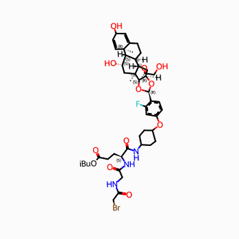 CC(C)COC(=O)CC[C@H](NC(=O)CNC(=O)CBr)C(=O)NC1CCC(Oc2ccc([C@@H]3O[C@@H]4C[C@H]5[C@@H]6CCC7=CC(O)C=C[C@]7(C)[C@H]6[C@@H](O)C[C@]5(C)[C@]4(C(=O)CO)O3)c(F)c2)CC1